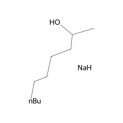 CCCCCCCCC(C)O.[NaH]